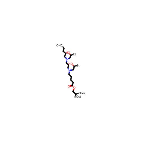 CCCCCCCCC(CCCCCC)COC(=O)CCCCN(CCCN(CCCCC=O)CC(O)CC)CC(O)CC